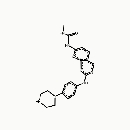 O=C(NI)Nc1ccc2cnc(Nc3ccc(N4CCNCC4)cc3)nc2n1